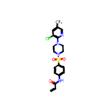 C=CC(=O)Nc1ccc(S(=O)(=O)N2CCN(c3ncc(C(F)(F)F)cc3Cl)CC2)cc1